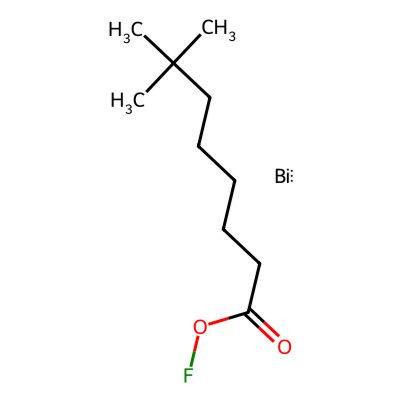 CC(C)(C)CCCCCC(=O)OF.[Bi]